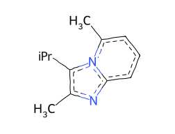 Cc1nc2cccc(C)n2c1C(C)C